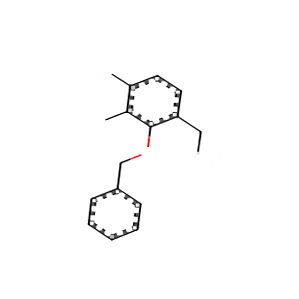 Cc1ccc(CC(=O)O)c(OCc2ccccc2)c1C